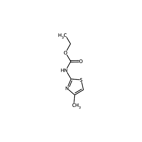 CCOC(=O)Nc1nc(C)cs1